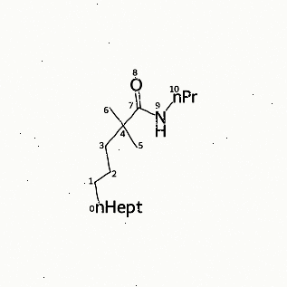 CCCCCCCCCCC(C)(C)C(=O)NCCC